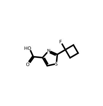 O=C(O)c1csc(C2(F)CCC2)n1